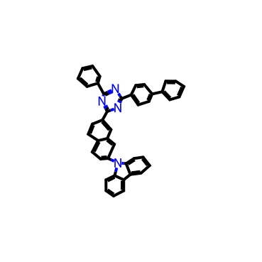 c1ccc(-c2ccc(-c3nc(-c4ccccc4)nc(-c4ccc5ccc(-n6c7ccccc7c7ccccc76)cc5c4)n3)cc2)cc1